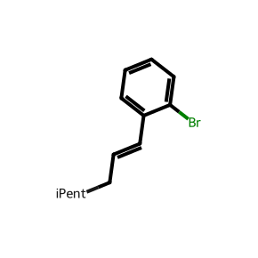 CCCC(C)C/C=C/c1ccccc1Br